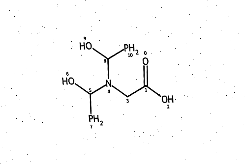 O=C(O)CN(C(O)P)C(O)P